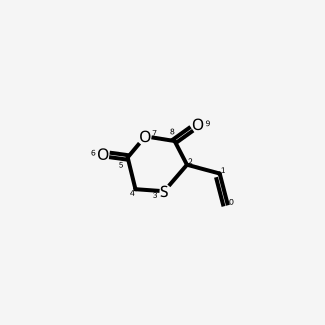 C=CC1SCC(=O)OC1=O